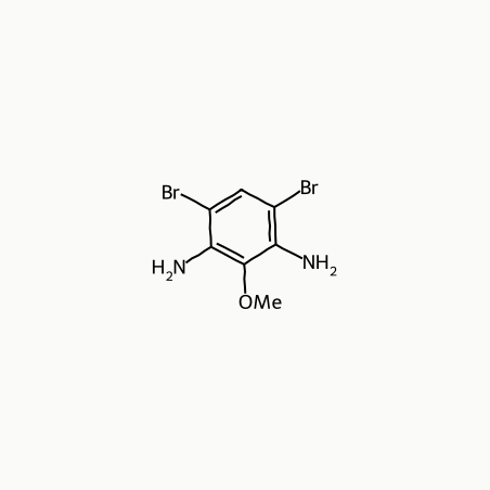 COc1c(N)c(Br)cc(Br)c1N